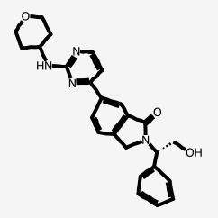 O=C1c2cc(-c3ccnc(NC4CCOCC4)n3)ccc2CN1[C@H](CO)c1ccccc1